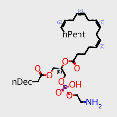 CCCCC/C=C\C/C=C\C/C=C\C/C=C\CCCC(=O)O[C@H](COC(=O)CCCCCCCCCCC)COP(=O)(O)OCCN